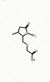 BN1C(=O)CC(C)C1COCC(=O)O